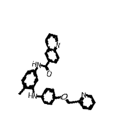 Cc1ccc(NC(=O)c2ccc3ncccc3c2)cc1Nc1ccc(OCc2ccccn2)cc1